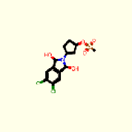 CS(=O)(=O)OC1CCC(N2C(O)c3cc(Cl)c(Cl)cc3C2O)C1